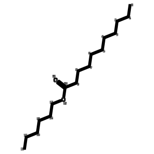 CCCCCCCCCCC(=O)OCCCCCC